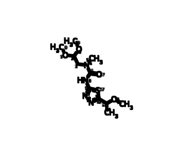 COC(CN(C)C(=O)Nc1nnc(C(C)OC)s1)OC